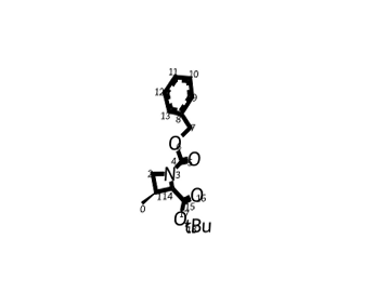 C[C@H]1CN(C(=O)OCc2ccccc2)C1C(=O)OC(C)(C)C